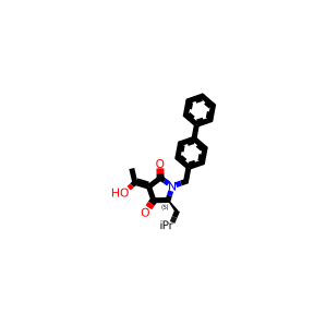 CC(O)=C1C(=O)[C@H](CC(C)C)N(Cc2ccc(-c3ccccc3)cc2)C1=O